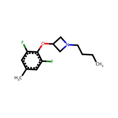 CCCCN1CC(Oc2c(F)cc(C)cc2F)C1